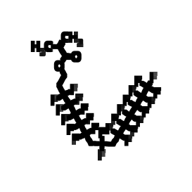 C=C(C)C(=O)OCCC(F)(F)C(F)(F)C(F)(F)C(F)(F)C(F)(F)CC(F)(F)CC(F)(F)C(F)(F)C(F)(F)C(F)(F)C(F)(F)C(F)(F)F